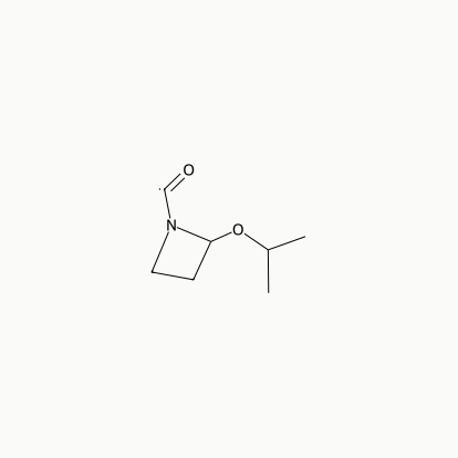 CC(C)OC1CCN1[C]=O